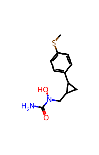 CSc1ccc(C2CC2CN(O)C(N)=O)cc1